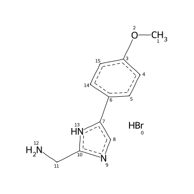 Br.COc1ccc(-c2cnc(CN)[nH]2)cc1